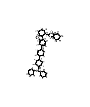 c1ccc(N(c2ccccc2)c2ccc(-c3ccc(-c4ccc5c(c4)oc4cccc(-c6nc7ccccc7o6)c45)cc3)cc2)cc1